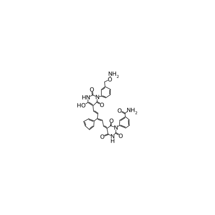 NOCc1cccc(-n2c(=O)[nH]c(O)c(C=CC(=CC=C3C(=O)NC(=O)N(c4cccc(C(N)=O)c4)C3=O)c3ccccc3)c2=O)c1